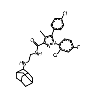 Cc1c(C(=O)NCCNC2C3CC4CC(C3)CC2C4)nn(-c2ccc(F)cc2Cl)c1-c1ccc(Cl)cc1